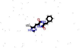 CC(C)(C)c1[nH]cnc1/C=c1\[nH]c(=O)/c(=C/C2CCCCC2)[nH]c1=O